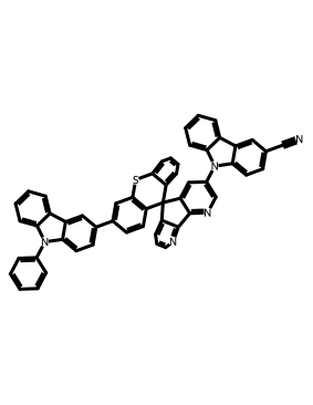 N#Cc1ccc2c(c1)c1ccccc1n2-c1cnc2c(c1)C1(c3ccccc3Sc3cc(-c4ccc5c(c4)c4ccccc4n5-c4ccccc4)ccc31)c1cccnc1-2